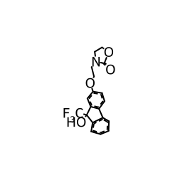 O=C1OCCN1CCOc1ccc2c(c1)C(O)(C(F)(F)F)c1ccccc1-2